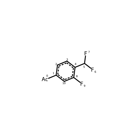 CC(=O)c1ccc(C(F)F)c(F)c1